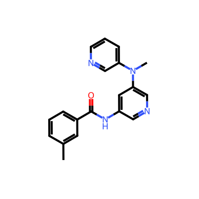 Cc1cccc(C(=O)Nc2cncc(N(C)c3cccnc3)c2)c1